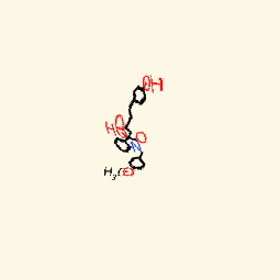 COc1ccc(CN2C(=O)C(O)(CC(=O)CCc3ccc(O)cc3)c3ccccc32)cc1